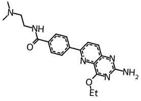 CCOc1nc(N)nc2ccc(-c3ccc(C(=O)NCCN(C)C)cc3)nc12